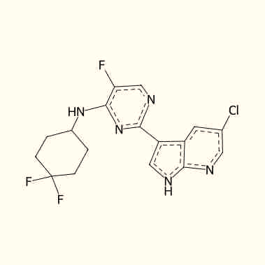 Fc1cnc(-c2c[nH]c3ncc(Cl)cc23)nc1NC1CCC(F)(F)CC1